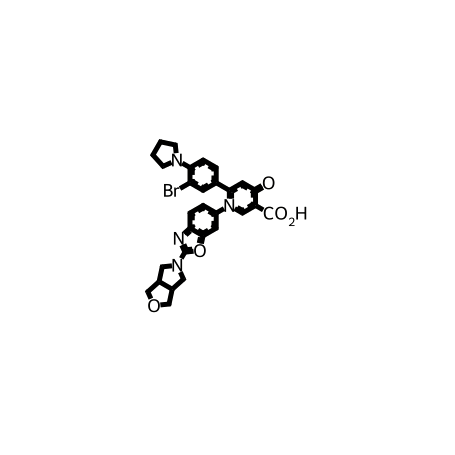 O=C(O)c1cn(-c2ccc3nc(N4CC5COCC5C4)oc3c2)c(-c2ccc(N3CCCC3)c(Br)c2)cc1=O